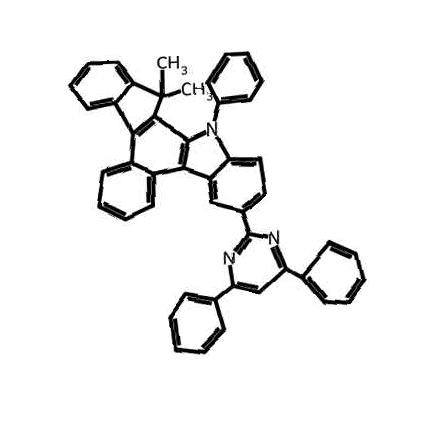 CC1(C)c2ccccc2-c2c1c1c(c3ccccc23)c2cc(-c3nc(-c4ccccc4)cc(-c4ccccc4)n3)ccc2n1-c1ccccc1